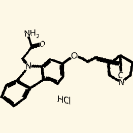 Cl.NC(=O)Cn1c2ccccc2c2ccc(OC/C=C3\CN4CCC3CC4)cc21